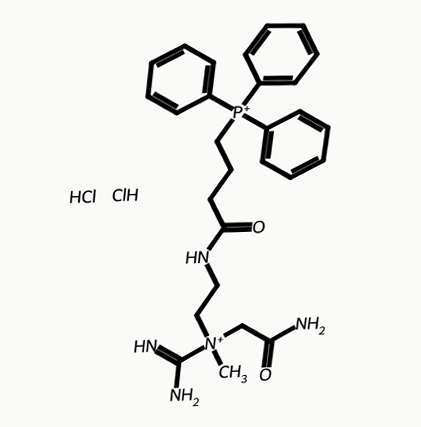 C[N+](CCNC(=O)CCC[P+](c1ccccc1)(c1ccccc1)c1ccccc1)(CC(N)=O)C(=N)N.Cl.Cl